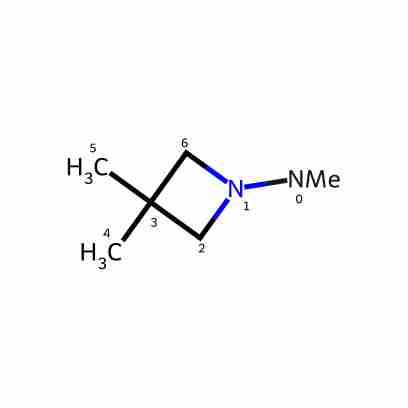 CNN1CC(C)(C)C1